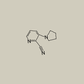 N#Cc1ncccc1N1CCCC1